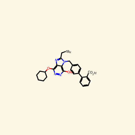 CC(C)(C)Cc1nc2c(OC3CCCCC3)nnc(O)c2n1Cc1ccc(-c2ccccc2C(=O)O)cc1